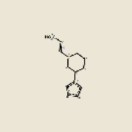 O=C(O)/C=C/N1CCCC(n2cccc2)C1